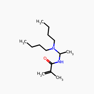 C=C(C)C(=O)NC(C)N(CCCC)CCCC